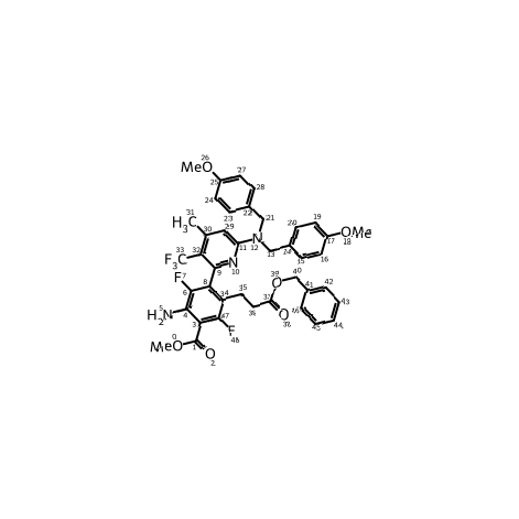 COC(=O)c1c(N)c(F)c(-c2nc(N(Cc3ccc(OC)cc3)Cc3ccc(OC)cc3)cc(C)c2C(F)(F)F)c(CCC(=O)OCc2ccccc2)c1F